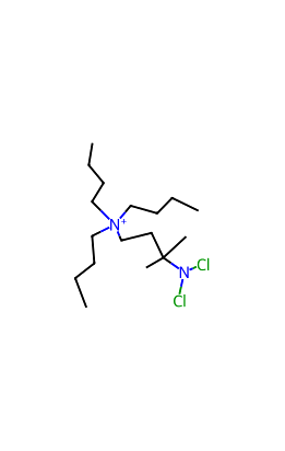 CCCC[N+](CCCC)(CCCC)CCC(C)(C)N(Cl)Cl